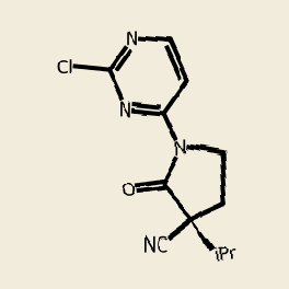 CC(C)[C@]1(C#N)CCN(c2ccnc(Cl)n2)C1=O